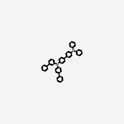 c1ccc(-c2ccc(N(c3ccc(-c4ccc(N(c5ccccc5)c5ccccc5)cc4)cc3)c3cccc(-c4ccccc4)c3)cc2)cc1